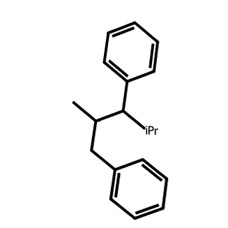 C[C](Cc1ccccc1)C(c1ccccc1)C(C)C